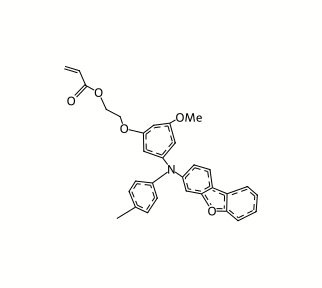 C=CC(=O)OCCOc1cc(OC)cc(N(c2ccc(C)cc2)c2ccc3c(c2)oc2ccccc23)c1